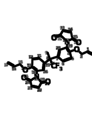 C=CCOc1ccc(C(C)(c2ccc(OCC=C)c(N3C(=O)C=CC3=O)c2)C(F)(F)F)cc1N1C(=O)C=CC1=O